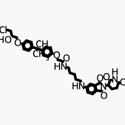 CC(C)(c1ccc(OCC(=O)NCCCCCNc2ccc3c(c2)C(=O)N(C2CCC(=O)NC2=O)C3=O)cc1)c1ccc(OCC(O)CCl)cc1